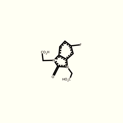 O=C(O)Cn1c(=O)n(CC(=O)O)c2cc(F)ccc21